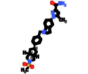 Cc1cc(C(N)=O)nn1-c1ccc2c(ccn2Cc2ccc([C@@H]3C[C@@H]4CN(S(C)(=O)=O)C[C@@H]4C3)cc2)c1